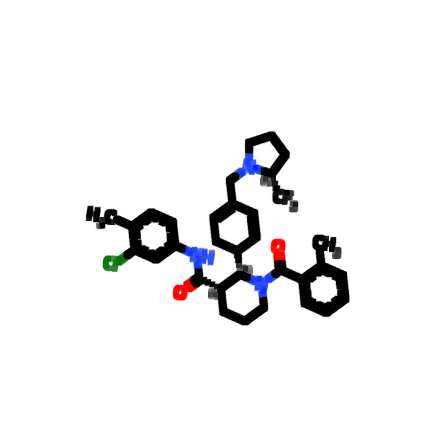 Cc1ccc(NC(=O)[C@H]2CCCN(C(=O)c3ccccc3C)[C@H]2C2C=CC(CN3CCC[C@@H]3C(F)(F)F)=CC2)cc1Cl